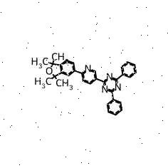 CC1(C)OC(C)(C)c2cc(-c3ccc(-c4nc(-c5ccccc5)nc(-c5ccccc5)n4)cn3)ccc21